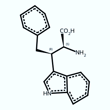 N[C@H](C(=O)O)[C@H](Cc1ccccc1)c1c[nH]c2ccccc12